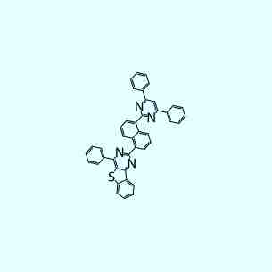 c1ccc(-c2cc(-c3ccccc3)nc(-c3cccc4c(-c5nc(-c6ccccc6)c6sc7ccccc7c6n5)cccc34)n2)cc1